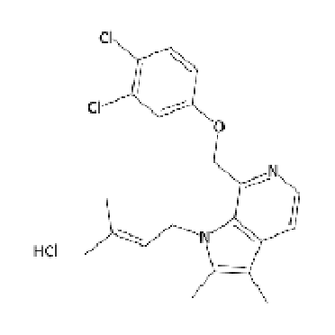 CC(C)=CCn1c(C)c(C)c2ccnc(COc3ccc(Cl)c(Cl)c3)c21.Cl